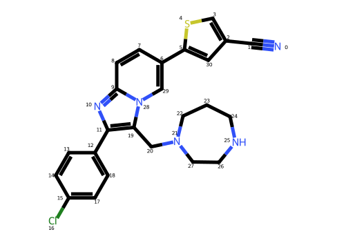 N#Cc1csc(-c2ccc3nc(-c4ccc(Cl)cc4)c(CN4CCCNCC4)n3c2)c1